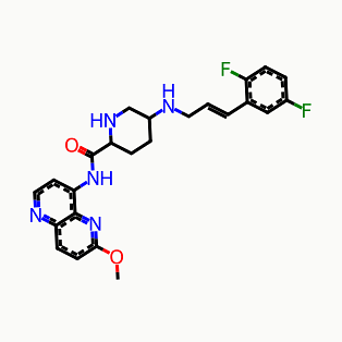 COc1ccc2nccc(NC(=O)C3CCC(NC/C=C/c4cc(F)ccc4F)CN3)c2n1